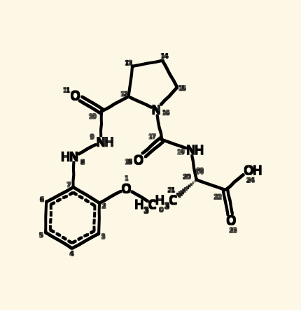 COc1ccccc1NNC(=O)C1CCCN1C(=O)N[C@@H](C)C(=O)O